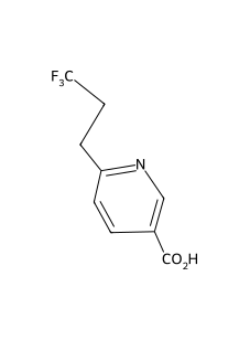 O=C(O)c1ccc(CCC(F)(F)F)nc1